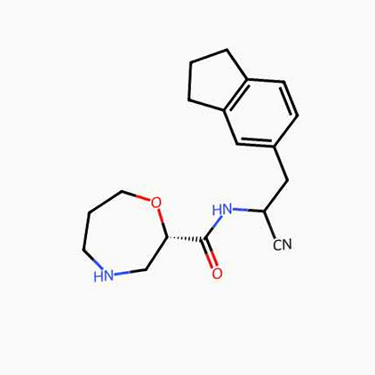 N#CC(Cc1ccc2c(c1)CCC2)NC(=O)[C@@H]1CNCCCO1